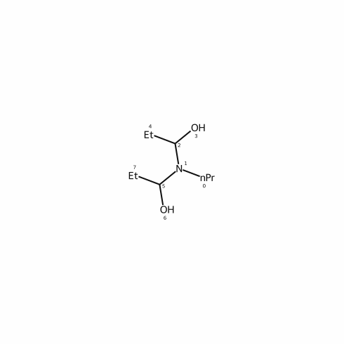 [CH2]CCN(C(O)CC)C(O)CC